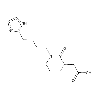 O=C(O)CC1CCCN(CCCCc2ncc[nH]2)C1=O